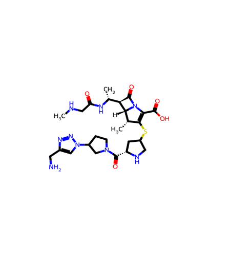 CNCC(=O)N[C@H](C)[C@H]1C(=O)N2C(C(=O)O)=C(SC3CN[C@H](C(=O)N4CCC(n5cc(CN)nn5)C4)C3)[C@H](C)[C@H]12